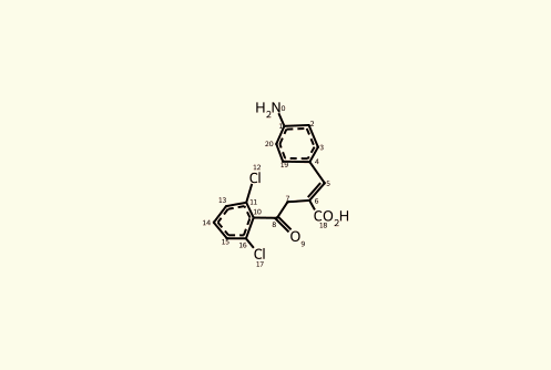 Nc1ccc(C=C(CC(=O)c2c(Cl)cccc2Cl)C(=O)O)cc1